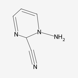 N#CC1N=CC=CN1N